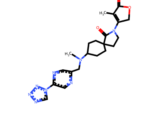 CC1=C(N2CCC3(CCC(N(C)Cc4cnc(-n5cnnn5)cn4)CC3)C2=O)COC1=O